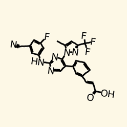 Cc1cc(C(F)(F)F)nn1-c1nc(Nc2cc(F)cc(C#N)c2)ncc1-c1cccc(/C=C/C(=O)O)c1